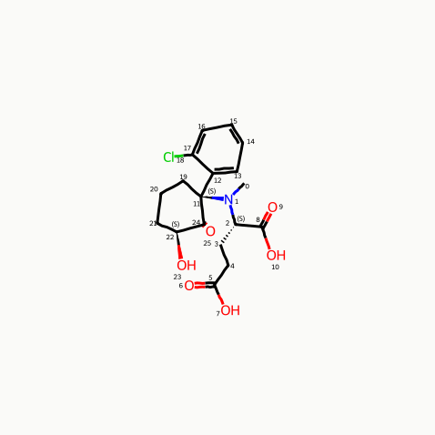 CN([C@@H](CCC(=O)O)C(=O)O)[C@]1(c2ccccc2Cl)CCC[C@H](O)C1=O